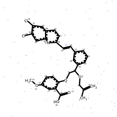 C=C(C)COC(COc1ccc(OC)cc1C(=O)O)c1cccc(/C=C/c2ccc3cc(Cl)c(Cl)cc3n2)c1